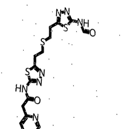 O=CNc1nnc(CCSCCc2nnc(NC(=O)Cc3ccccn3)s2)s1